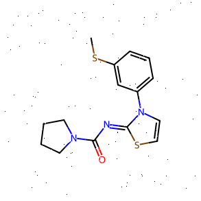 CSc1cccc(-n2ccsc2=NC(=O)N2CCCC2)c1